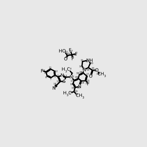 CCN(c1nc(-c2ccc(F)cc2)c(C#N)s1)c1cc(C(C)C)nc2c(F)cc(N3CCNCC3C(=O)OC)cc12.O=C(O)C(F)(F)F